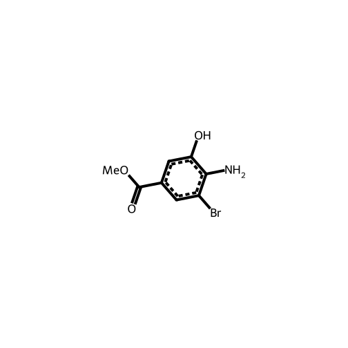 COC(=O)c1cc(O)c(N)c(Br)c1